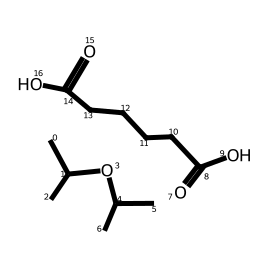 CC(C)OC(C)C.O=C(O)CCCCC(=O)O